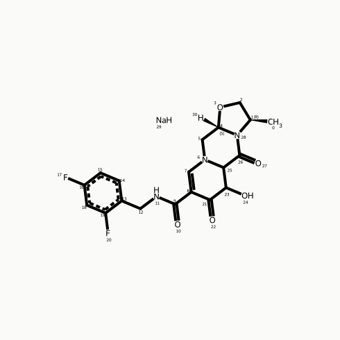 C[C@@H]1CO[C@H]2CN3C=C(C(=O)NCc4ccc(F)cc4F)C(=O)C(O)C3C(=O)N12.[NaH]